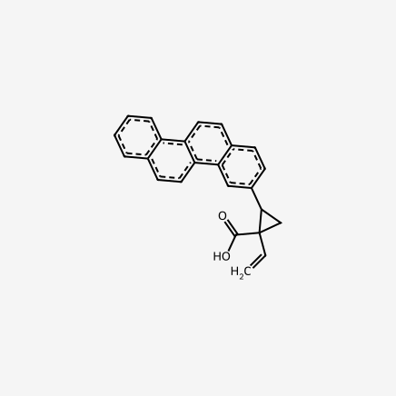 C=CC1(C(=O)O)CC1c1ccc2ccc3c4ccccc4ccc3c2c1